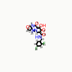 CN1C(=O)c2c(O)c(=O)c(C(=O)NCc3ccc(F)cc3F)cn2N(C)C12CCOC2